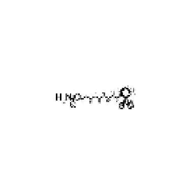 NC(=O)OCCCCCCCCCc1ccccc1[N+](=O)[O-]